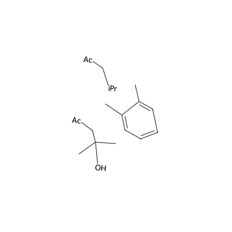 CC(=O)CC(C)(C)O.CC(=O)CC(C)C.Cc1ccccc1C